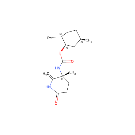 C=C1NC(=O)CC[C@@]1(C)NC(=O)O[C@@H]1C[C@H](C)CC[C@H]1C(C)C